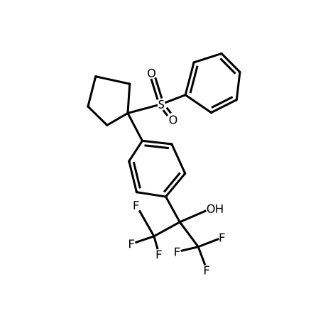 O=S(=O)(c1ccccc1)C1(c2ccc(C(O)(C(F)(F)F)C(F)(F)F)cc2)CCCC1